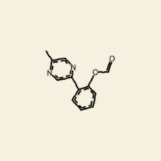 Cc1cnc(-c2ccccc2OC=O)cn1